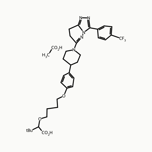 CC(=O)O.CC(C)(C)C(OCCCCOc1ccc(C2CCN(C3=Nn4c(nnc4-c4ccc(C(F)(F)F)cc4)CC3)CC2)cc1)C(=O)O